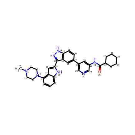 CN1CCN(c2cccc3[nH]c(-c4n[nH]c5ccc(-c6cncc(NC(=O)C7CCCCC7)c6)cc45)cc23)CC1